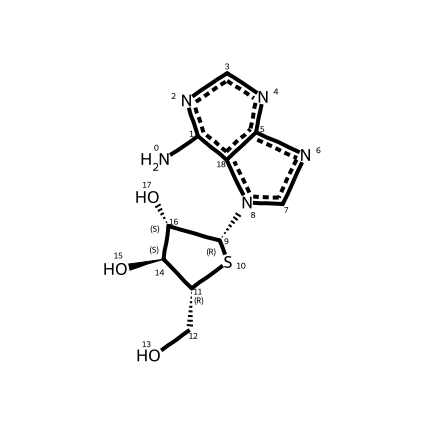 Nc1ncnc2ncn([C@@H]3S[C@H](CO)[C@@H](O)[C@@H]3O)c12